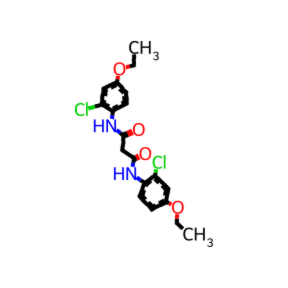 CCOc1ccc(NC(=O)CC(=O)Nc2ccc(OCC)cc2Cl)c(Cl)c1